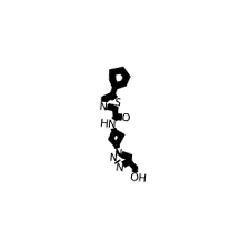 O=C(NC1CC(n2cc(CO)nn2)C1)c1ncc(-c2ccccc2)s1